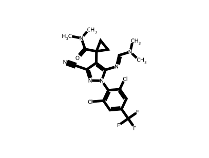 CN(C)/C=N/c1c(C2(C(=O)N(C)C)CC2)c(C#N)nn1-c1c(Cl)cc(C(F)(F)F)cc1Cl